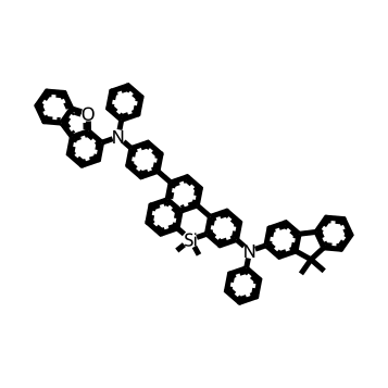 CC1(C)c2ccccc2-c2ccc(N(c3ccccc3)c3ccc4c(c3)[Si](C)(C)c3cccc5c(-c6ccc(N(c7ccccc7)c7cccc8c7oc7ccccc78)cc6)ccc-4c35)cc21